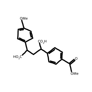 COC(=O)c1ccc(C(CC(C(=O)O)c2ccc(OC)cc2)C(=O)O)cc1